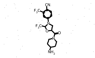 N#Cc1ccc(N2CC(C(=O)N3CCC(N)CC3)OC2C(F)(F)F)cc1C(F)(F)F